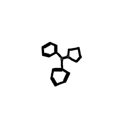 c1ccc(N(c2ccccc2)N2CCCC2)cc1